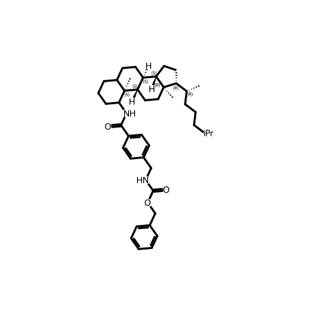 CC(C)CCC[C@@H](C)[C@H]1CC[C@H]2[C@@H]3CCC4CCCC(NC(=O)c5ccc(CNC(=O)OCc6ccccc6)cc5)[C@]4(C)[C@H]3CC[C@]12C